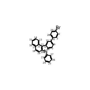 Brc1ccc(-c2ccc3c(c2)c2c4ccccc4ccc2n3-c2ccccc2)cc1